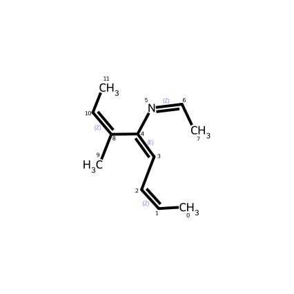 C\C=C/C=C(/N=C\C)C(\C)=C/C